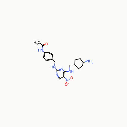 CC(=O)Nc1ccc(CNc2ncc([N+](=O)[O-])c(NC[C@H]3CC[C@H](N)CC3)n2)cc1